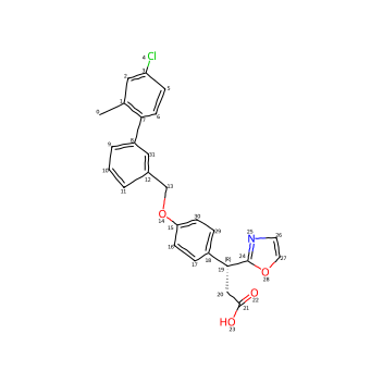 Cc1cc(Cl)ccc1-c1cccc(COc2ccc([C@@H](CC(=O)O)c3ncco3)cc2)c1